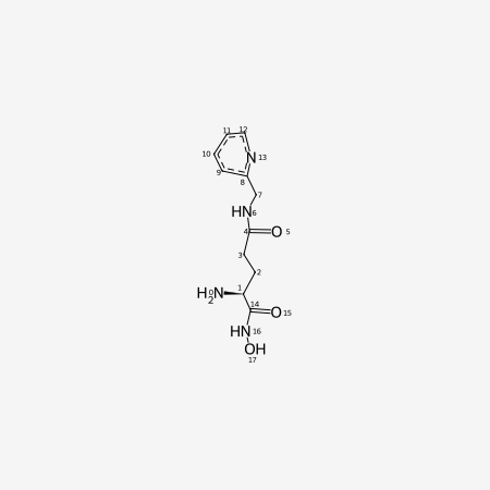 N[C@@H](CCC(=O)NCc1ccccn1)C(=O)NO